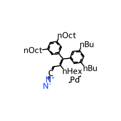 CCCCCCCCc1cc(CCCCCCCC)cc(C(=C(C=C=[N+]=[N-])CCCCCC)c2cc(CCCC)cc(CCCC)c2)c1.[CH3][Pd][CH3]